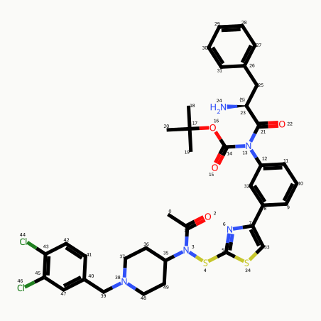 CC(=O)N(Sc1nc(-c2cccc(N(C(=O)OC(C)(C)C)C(=O)[C@@H](N)Cc3ccccc3)c2)cs1)C1CCN(Cc2ccc(Cl)c(Cl)c2)CC1